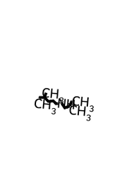 CCC(C)CCCNCC(C)CC